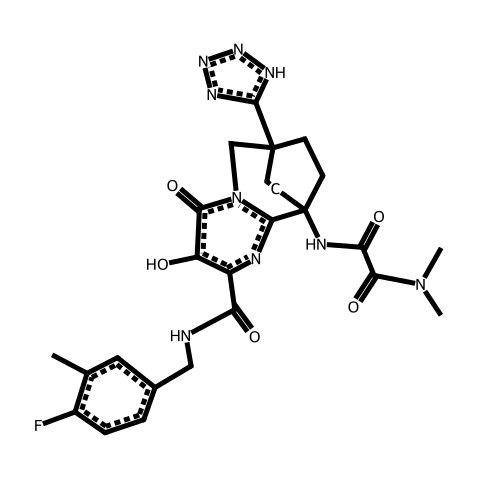 Cc1cc(CNC(=O)c2nc3n(c(=O)c2O)CC2(c4nnn[nH]4)CCC3(NC(=O)C(=O)N(C)C)CC2)ccc1F